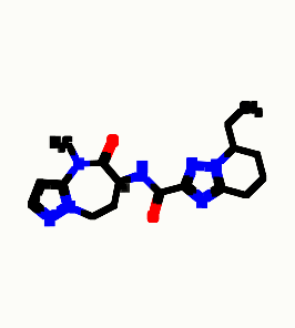 CCC1CCCc2nc(C(=O)N[C@H]3CCn4nccc4N(C)C3=O)nn21